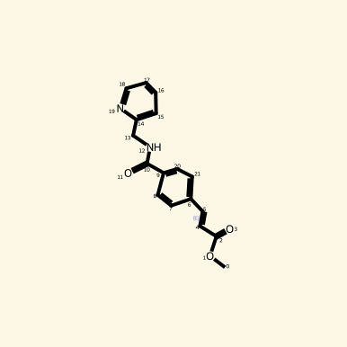 COC(=O)/C=C/c1ccc(C(=O)NCc2ccccn2)cc1